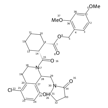 COc1ccc(COC(=O)[C@H]2CCCC[C@H]2C(=O)N2CCc3c(Cl)ccc(O)c3C2CN2CCCC2=O)c(OC)c1